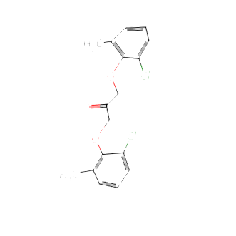 Cc1cccc(Cl)c1OCC(=O)COc1c(C)cccc1Cl